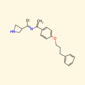 C=C(/N=C(\CC)C1CNC1)c1ccc(OCCCc2ccccc2)cc1